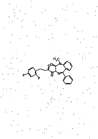 CN1C(=O)C(NC(=O)CCc2ccc(F)cc2F)N=C(c2ccccc2)c2ccccc21